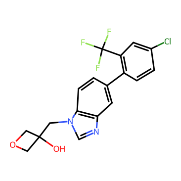 OC1(Cn2cnc3cc(-c4ccc(Cl)cc4C(F)(F)F)ccc32)COC1